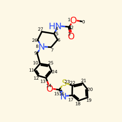 COC(=O)NC1CCN(Cc2ccc(Oc3nc4ccccc4s3)cc2)CC1